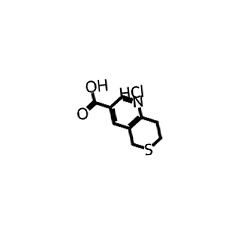 Cl.O=C(O)c1cnc2c(c1)CSCC2